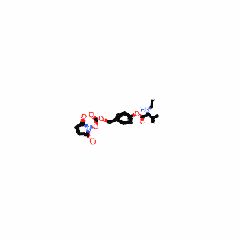 CCNC(C(=O)Oc1ccc(COC(=O)ON2C(=O)CCC2=O)cc1)C(C)C